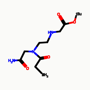 BCC(=O)N(CCNCC(=O)OC(C)(C)C)CC(N)=O